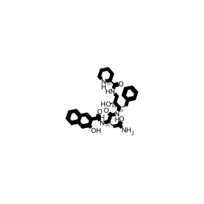 NC(=O)C[C@H](NC(=O)c1cc2ccccc2cc1O)C(=O)N[C@@H](Cc1ccccc1)[C@H](O)CNC(=O)[C@@H]1CCCCN1